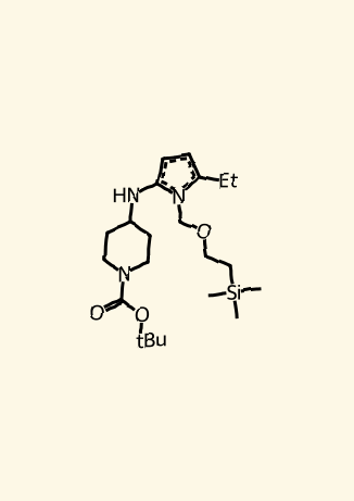 CCc1ccc(NC2CCN(C(=O)OC(C)(C)C)CC2)n1COCC[Si](C)(C)C